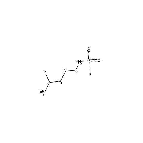 CCCC(I)CCCNS(=O)(=O)I